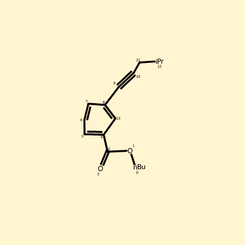 CCCCOC(=O)c1cccc(C#CCC(C)C)c1